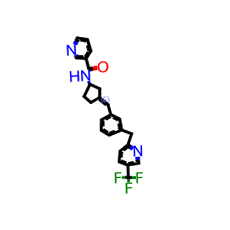 O=C(NC1CC/C(=C\c2cccc(Cc3ccc(C(F)(F)F)cn3)c2)C1)c1cccnc1